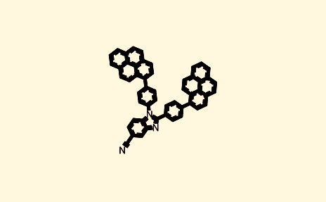 N#Cc1ccc2c(c1)nc(-c1ccc(-c3ccc4ccc5cccc6ccc3c4c56)cc1)n2-c1ccc(-c2ccc3ccc4cccc5ccc2c3c45)cc1